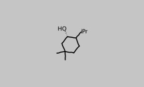 CC(C)C1CCC(C)(C)C[C@@H]1O